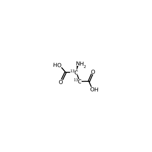 N[13C@@H]([13CH2]C(=O)O)C(=O)O